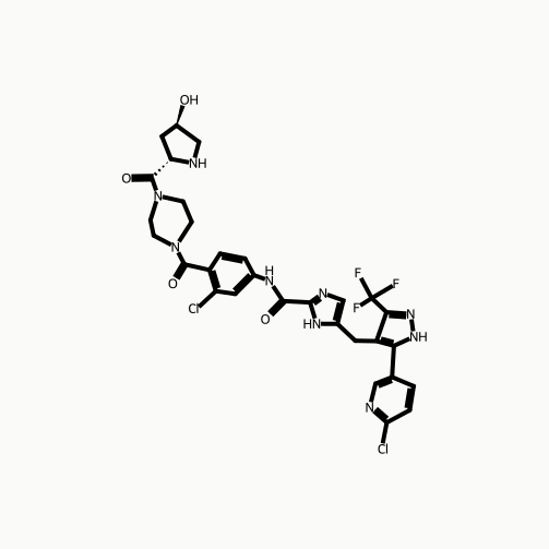 O=C(Nc1ccc(C(=O)N2CCN(C(=O)[C@@H]3C[C@@H](O)CN3)CC2)c(Cl)c1)c1ncc(Cc2c(C(F)(F)F)n[nH]c2-c2ccc(Cl)nc2)[nH]1